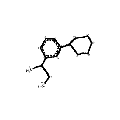 CCC(C)c1cccc(C2CCCCC2)c1